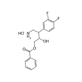 Cl.NCC(c1ccc(F)c(F)c1)C(O)COC(=O)c1ccccc1